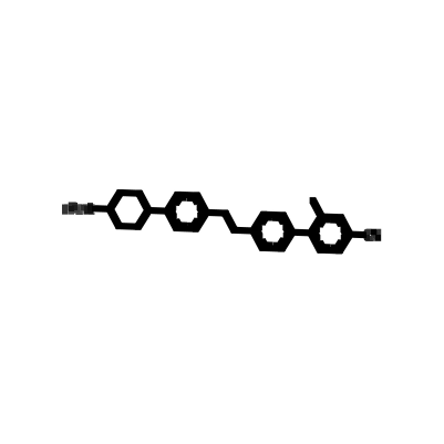 CCCCCC1CCC(c2ccc(CCc3ccc(-c4ccc(C#N)cc4C)cc3)cc2)CC1